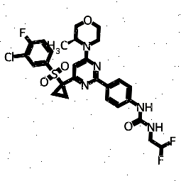 C[C@H]1COCCN1c1cc(C2(S(=O)(=O)c3ccc(F)c(Cl)c3)CC2)nc(-c2ccc(NC(=O)NCC(F)F)cc2)n1